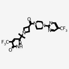 CC(C)(c1cc(C(F)(F)F)c(=O)[nH]n1)N1CC(C(=O)N2CCN(c3ncc(C(F)(F)F)cn3)CC2)C1